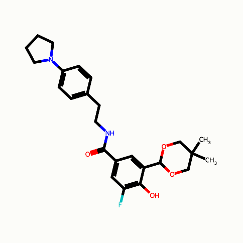 CC1(C)COC(c2cc(C(=O)NCCc3ccc(N4CCCC4)cc3)cc(F)c2O)OC1